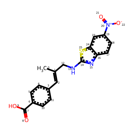 CC(=Cc1ccc(C(=O)O)cc1)CNc1nc2ccc([N+](=O)[O-])cc2s1